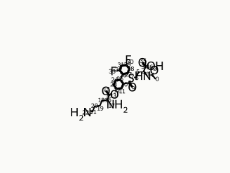 CC(=O)N[C@@H](CCSC(=O)c1cc(OC(=O)[C@@H](N)CCCCN)ccc1-c1ccc(F)cc1F)C(=O)O